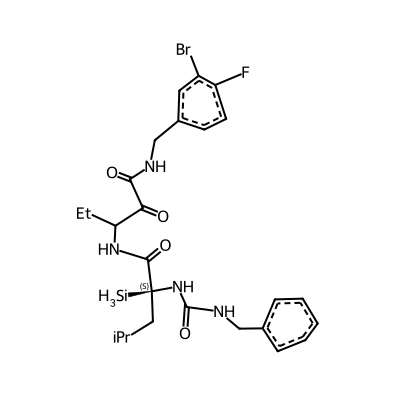 CCC(NC(=O)[C@@]([SiH3])(CC(C)C)NC(=O)NCc1ccccc1)C(=O)C(=O)NCc1ccc(F)c(Br)c1